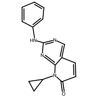 O=c1ccc2cnc(Nc3ccccc3)nc2n1C1CC1